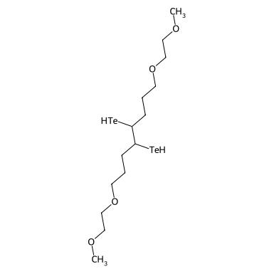 COCCOCCCC([TeH])C([TeH])CCCOCCOC